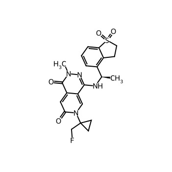 C[C@@H](Nc1nn(C)c(=O)c2cc(=O)n(C3(CF)CC3)cc12)c1cccc2c1CCS2(=O)=O